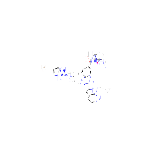 COc1cc(C(=O)N2C[C@H]3CC[C@@H]2[C@@H]3N)cc2nc(-c3cc4cccnc4n3CC3CC3)n(CC3CN(c4ncc(Br)cn4)C3)c12